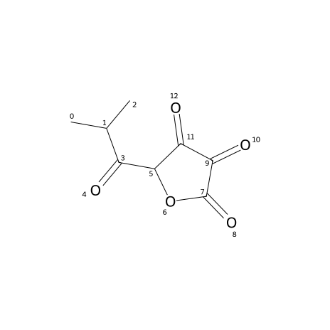 CC(C)C(=O)C1OC(=O)C(=O)C1=O